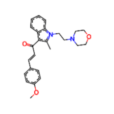 COc1ccc(/C=C/C(=O)c2c(C)n(CCN3CCOCC3)c3ccccc23)cc1